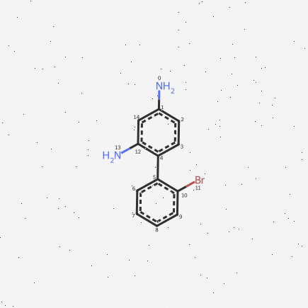 Nc1ccc(-c2ccccc2Br)c(N)c1